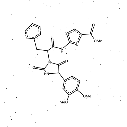 COC(=O)c1csc(NC(=O)C(Cc2ccccc2)N2C(=O)NC(c3ccc(OC)c(OC)c3)C2=O)n1